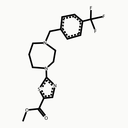 COC(=O)c1cnc(N2CCCN(Cc3ccc(C(F)(F)F)cc3)CC2)s1